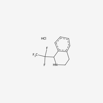 Cl.FC(F)(F)C(F)(F)C1NCCc2ccccc21